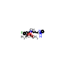 COCC(=O)O[C@]1(CCN(C)CCCCCCCc2nc3ccccc3[nH]2)CCc2cc(F)ccc2[C@@H]1C(C)C